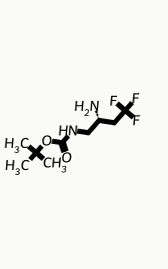 CC(C)(C)OC(=O)NC[C@H](N)CC(F)(F)F